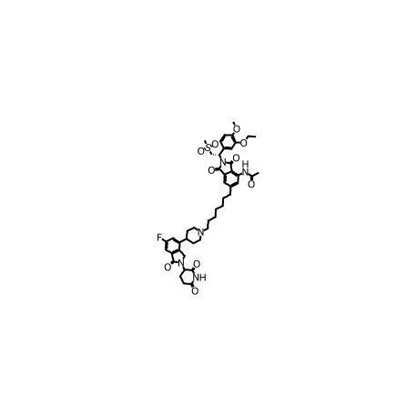 CCOc1cc([C@@H](CS(C)(=O)=O)N2C(=O)c3cc(CCCCCCCN4CCC(c5cc(F)cc6c5CN(C5CCC(=O)NC5=O)C6=O)CC4)cc(NC(C)=O)c3C2=O)ccc1OC